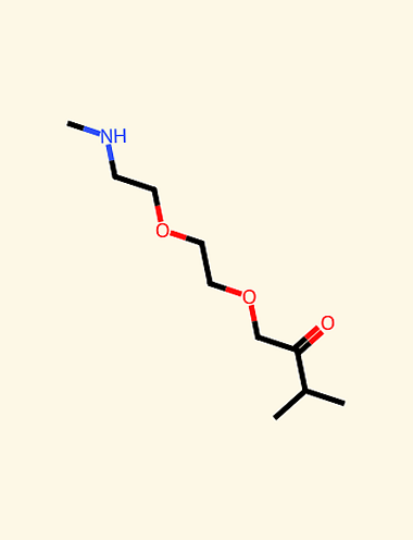 CNCCOCCOCC(=O)C(C)C